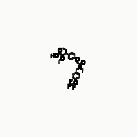 CCO[C@H](C(=O)O)C(CC)c1ccc(OCC(=O)N(CC)Cc2ccc(OC(F)(F)F)cc2)cc1